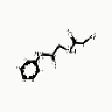 CC(=O)CC(=O)NCC(=O)Nc1ccccc1